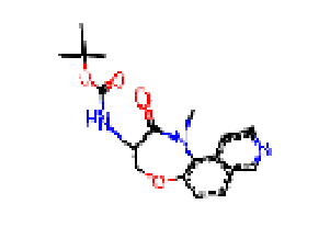 CN1C(=O)C(NC(=O)OC(C)(C)C)COc2ccc3cnccc3c21